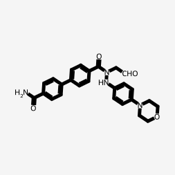 NC(=O)c1ccc(-c2ccc(C(=O)N(CC=O)Nc3ccc(N4CCOCC4)cc3)cc2)cc1